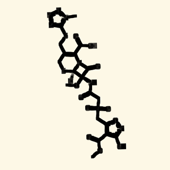 COC(=O)c1c(O)noc1CS(=O)(=O)CC(=O)N[C@]1(OC)C(=O)N2C(C(=O)O)=C(CSc3nnnn3C)CS[C@@H]21